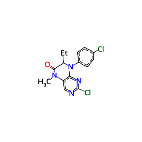 CCC1C(=O)N(C)c2cnc(Cl)nc2N1c1ccc(Cl)cc1